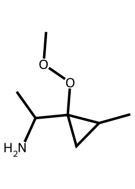 COOC1(C(C)N)CC1C